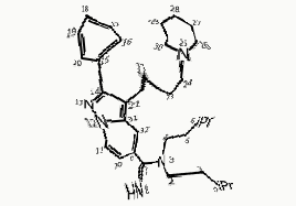 CC(C)CCN(CCC(C)C)C(=N)c1ccn2nc(-c3ccccc3)c(CCCN3CCCCC3)c2c1